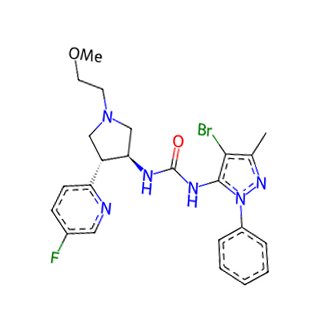 COCCN1C[C@@H](NC(=O)Nc2c(Br)c(C)nn2-c2ccccc2)[C@H](c2ccc(F)cn2)C1